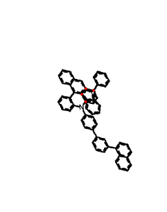 c1ccc(-c2ccc(N(c3ccc(-c4cccc(-c5cccc6ccccc56)c4)cc3)c3ccccc3-c3c4ccccc4cc4oc5ccccc5c34)cc2)cc1